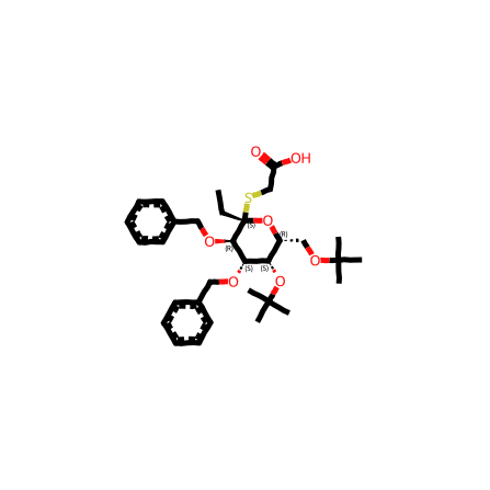 CC[C@@]1(SCC(=O)O)O[C@H](COC(C)(C)C)[C@H](OC(C)(C)C)[C@H](OCc2ccccc2)[C@H]1OCc1ccccc1